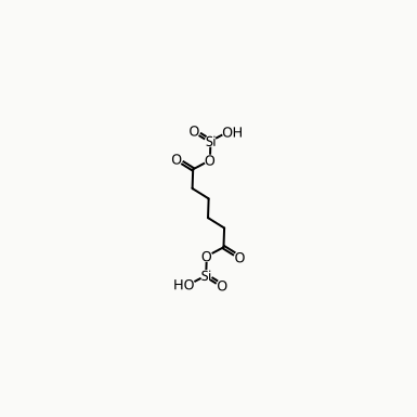 O=C(CCCCC(=O)O[Si](=O)O)O[Si](=O)O